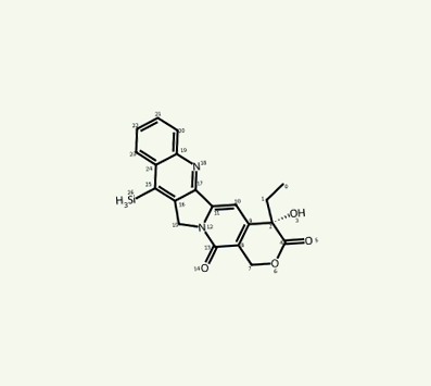 CC[C@@]1(O)C(=O)OCc2c1cc1n(c2=O)Cc2c-1nc1ccccc1c2[SiH3]